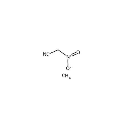 C.N#CC[N+](=O)[O-]